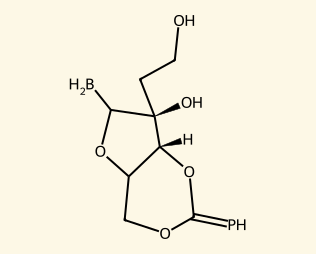 BC1OC2COC(=P)O[C@H]2[C@@]1(O)CCO